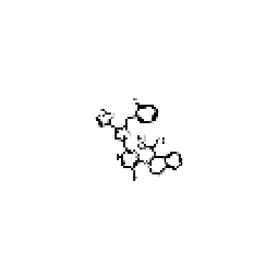 O=C(O)[C@H]1c2ccccc2CCN1c1nc(-c2cc(-c3ccon3)n(Cc3ccccc3F)n2)ncc1F